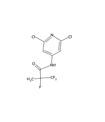 CC(F)(C(=O)Nc1cc(Cl)nc(Cl)c1)C(F)(F)F